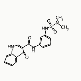 CN(C)S(=O)(=O)Nc1cccc(NC(=O)c2c[nH]c3ccccc3c2=O)c1